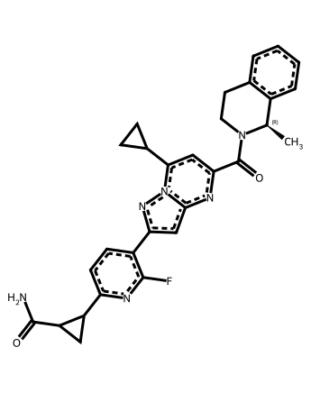 C[C@@H]1c2ccccc2CCN1C(=O)c1cc(C2CC2)n2nc(-c3ccc(C4CC4C(N)=O)nc3F)cc2n1